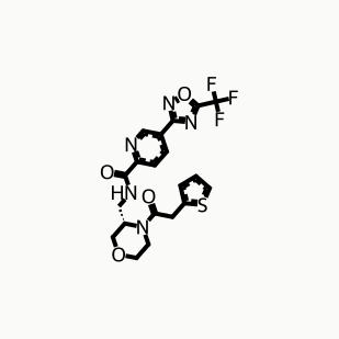 O=C(NC[C@H]1COCCN1C(=O)Cc1cccs1)c1ccc(-c2noc(C(F)(F)F)n2)cn1